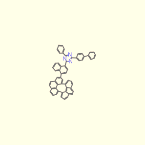 c1ccc(-c2ccc(-c3nc(-c4ccccc4)nc(-c4ccc(-c5cc6ccc7cccc8c9cccc%10ccc%11cccc(c(c5)c6c78)c%11c%109)c5ccccc45)n3)cc2)cc1